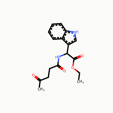 CCOC(=O)C(NC(=O)CCC(C)=O)c1c[nH]c2ccccc12